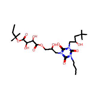 CCCCn1c(=O)n(CC(O)COC(=O)C(O)C(O)C(=O)OC(C)(C)CC)c(=O)n(CC(O)CC(C)(C)C)c1=O